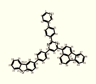 c1cncc(-c2ccc(-c3nc(-c4ccc(-c5ccc6sc7ccccc7c6c5)cc4)cc(-c4ccc5c6c(cccc46)-c4ccccc4-5)n3)cc2)c1